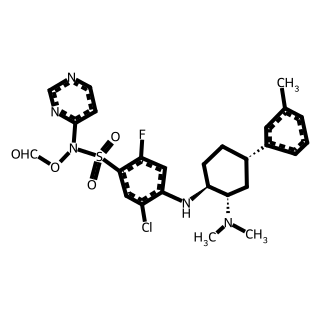 Cc1cccc([C@H]2CC[C@H](Nc3cc(F)c(S(=O)(=O)N(OC=O)c4ccncn4)cc3Cl)[C@@H](N(C)C)C2)c1